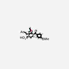 C=CC[C@@]1(CCC(C)=O)C(=O)N(C(=O)c2ccc(OC)cc2)CCN1C(=O)O